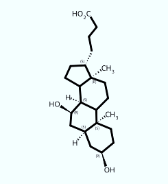 C[C@]12CCC3[C@H](C1CC[C@@H]2CCCC(=O)O)[C@H](O)C[C@@H]1C[C@H](O)CC[C@]31C